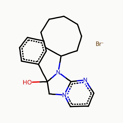 OC1(c2ccccc2)C[n+]2cccnc2N1C1CCCCCCC1.[Br-]